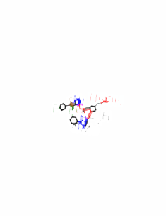 COc1ccccc1-c1nccc(COc2ccc(CCC(O)CO)cc2CC(Oc2ncnc3sc(-c4ccc(F)cc4)c(Br)c23)C(=O)O)n1